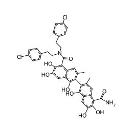 Cc1cc2c(C(N)=O)c(O)c(O)cc2c(O)c1-c1c(C)cc2c(C(=O)N(CCc3ccc(Cl)cc3)CCc3ccc(Cl)cc3)c(O)c(O)cc2c1O